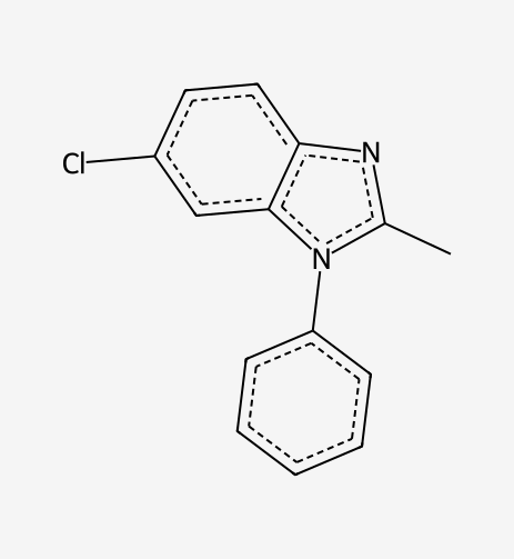 Cc1nc2ccc(Cl)cc2n1-c1ccccc1